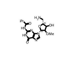 COC1C(O)[C@@H](CN)O[C@H]1n1cnc2c(=O)[nH]c(NC(=O)C(C)C)nc21